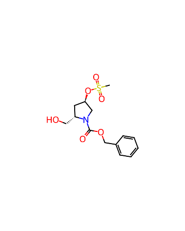 CS(=O)(=O)O[C@@H]1C[C@@H](CO)N(C(=O)OCc2ccccc2)C1